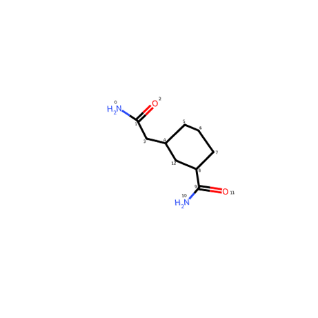 NC(=O)CC1CCCC(C(N)=O)C1